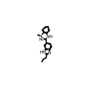 CCCc1nc2ccc(C(=O)Nc3ccccc3NC)cc2[nH]1